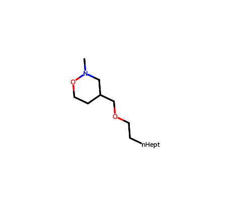 CCCCCCCCCOCC1CCON(C)C1